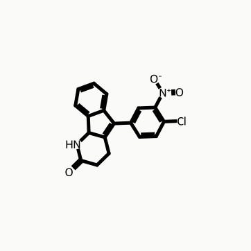 O=C1CCC2=C(c3ccc(Cl)c([N+](=O)[O-])c3)c3ccccc3C2N1